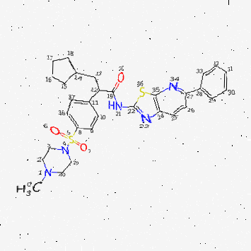 CN1CCN(S(=O)(=O)c2ccc(C(CC3CCCC3)C(=O)Nc3nc4ccc(-c5ccccc5)nc4s3)cc2)CC1